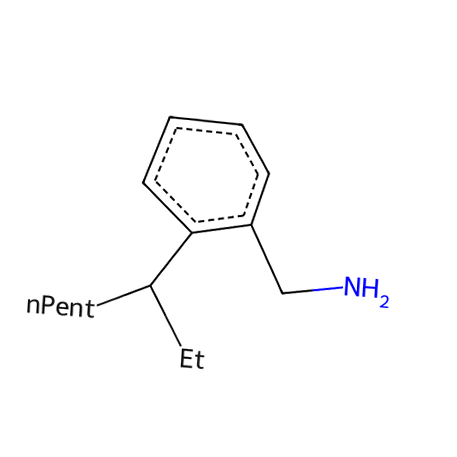 CCCCCC(CC)c1ccccc1CN